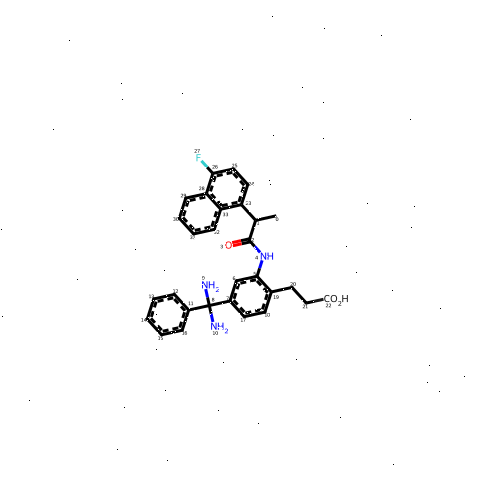 CC(C(=O)Nc1cc(C(N)(N)c2ccccc2)ccc1CCC(=O)O)c1ccc(F)c2ccccc12